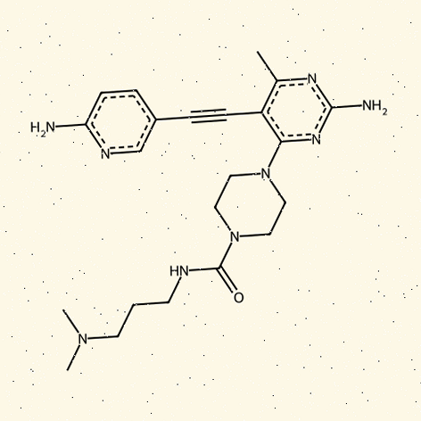 Cc1nc(N)nc(N2CCN(C(=O)NCCCN(C)C)CC2)c1C#Cc1ccc(N)nc1